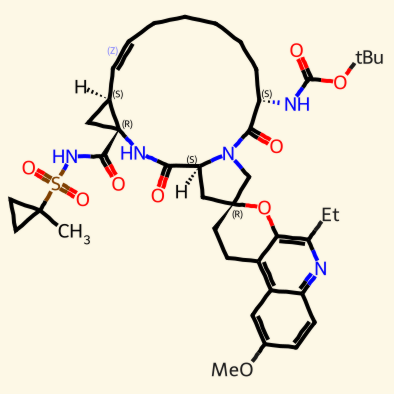 CCc1nc2ccc(OC)cc2c2c1O[C@]1(CC2)C[C@H]2C(=O)N[C@]3(C(=O)NS(=O)(=O)C4(C)CC4)C[C@H]3/C=C\CCCCC[C@H](NC(=O)OC(C)(C)C)C(=O)N2C1